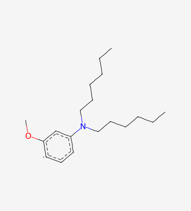 CCCCCCN(CCCCCC)c1cc[c]c(OC)c1